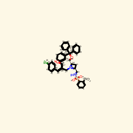 O=[N+]([O-])c1ccccc1S(=O)(=O)NC[C@@H]1C[C@@H](COC(c2ccccc2)(c2ccccc2)c2ccccc2)N1CC(=Cc1ccc(Br)cc1)CO